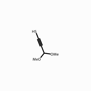 COC(C#CS)OC